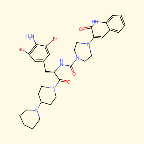 Nc1c(Br)cc(C[C@@H](NC(=O)N2CCN(c3cc4ccccc4[nH]c3=O)CC2)C(=O)N2CCC(N3CCCCC3)CC2)cc1Br